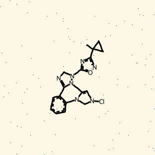 CC1(c2noc(N3CN=C4c5ccccc5N5CN(Cl)C=C5N43)n2)CC1